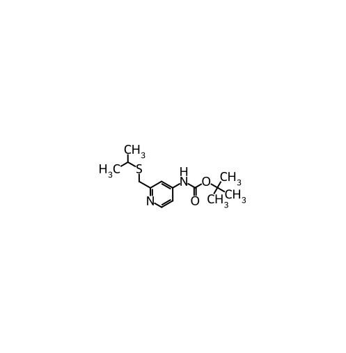 CC(C)SCc1cc(NC(=O)OC(C)(C)C)ccn1